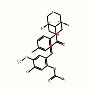 NC(=O)Nc1cc(Cl)c(OC(F)(F)F)cc1C=CC(=O)N1C[C@H]2COC[C@@H](C1)C2Nc1ccc(F)cc1